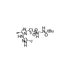 C#Cc1cnc(-c2ccc(S(=O)(=O)NCCNC(=O)C(C)(C)C)s2)nc1Nc1cc(C2CC2)[nH]n1